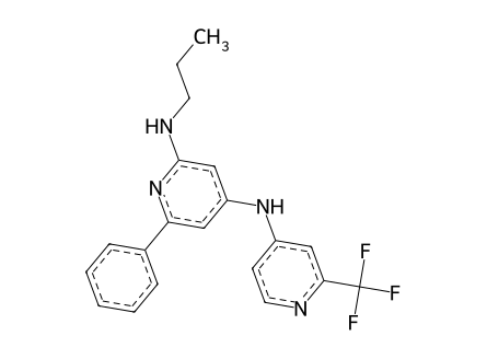 CCCNc1cc(Nc2ccnc(C(F)(F)F)c2)cc(-c2ccccc2)n1